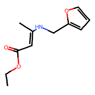 CCOC(=O)C=C(C)NCc1ccco1